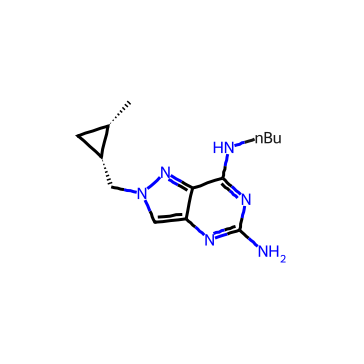 CCCCNc1nc(N)nc2cn(C[C@@H]3C[C@@H]3C)nc12